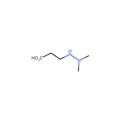 CN(C)NCCC(=O)O